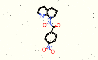 O=C(c1ccc([N+](=O)[O-])cc1)[NH+]([O-])c1cccc2cccnc12